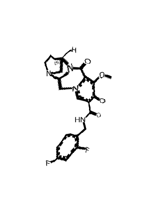 COc1c2n(cc(C(=O)NCc3ccc(F)cc3F)c1=O)CC1N3CC[C@@H](C3)N1C2=O